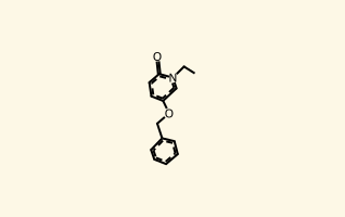 CCn1cc(OCc2ccccc2)ccc1=O